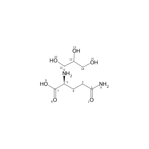 NC(=O)CC[C@H](N)C(=O)O.OCC(O)CO